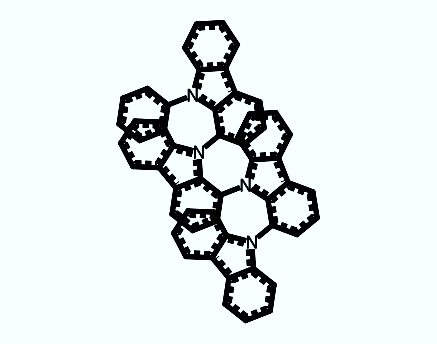 c1ccc(-n2c3ccccc3c3cccc(-n4c5ccccc5c5cccc(-n6c7ccccc7c7cccc(-n8c9ccccc9c9ccccc98)c76)c54)c32)cc1